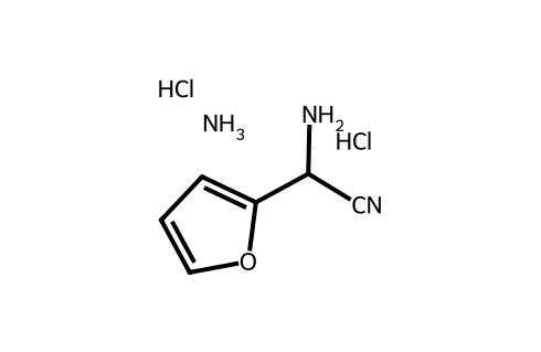 Cl.Cl.N.N#CC(N)c1ccco1